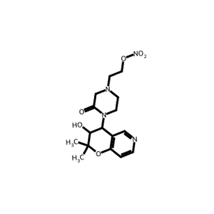 CC1(C)Oc2ccncc2C(N2CCN(CCO[N+](=O)[O-])CC2=O)C1O